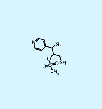 CS(=O)(=O)OC([CH]S)C(S)c1ccncc1